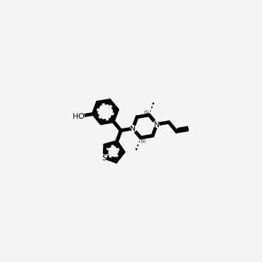 C=CCN1C[C@H](C)N(C(c2ccsc2)c2cccc(O)c2)C[C@@H]1C